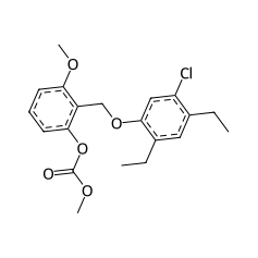 CCc1cc(CC)c(OCc2c(OC)cccc2OC(=O)OC)cc1Cl